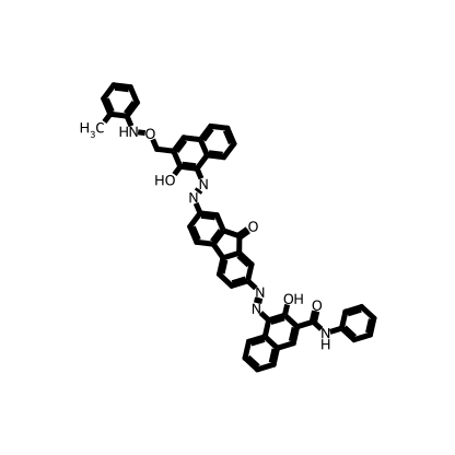 Cc1ccccc1NOCc1cc2ccccc2c(N=Nc2ccc3c(c2)C(=O)c2cc(N=Nc4c(O)c(C(=O)Nc5ccccc5)cc5ccccc45)ccc2-3)c1O